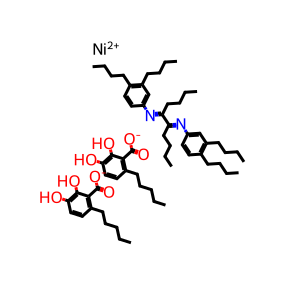 CCCCC(=Nc1ccc(CCCC)c(CCCC)c1)C(CCCC)=Nc1ccc(CCCC)c(CCCC)c1.CCCCCc1ccc(O)c(O)c1C(=O)[O-].CCCCCc1ccc(O)c(O)c1C(=O)[O-].[Ni+2]